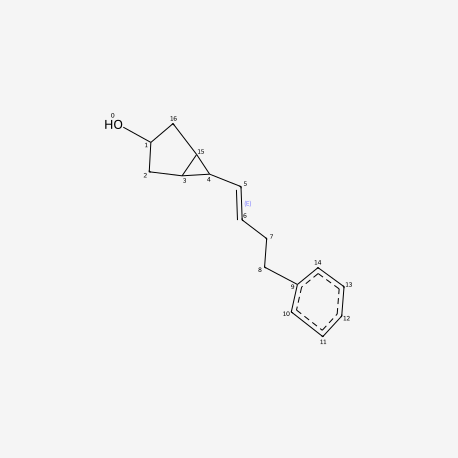 OC1CC2C(/C=C/CCc3ccccc3)C2C1